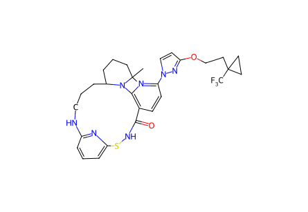 CC1(C)CCCC2CCCNc3cccc(n3)SNC(=O)c3ccc(-n4ccc(OCCC5(C(F)(F)F)CC5)n4)nc3N21